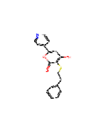 O=c1oc(-c2ccncc2)cc(O)c1SCCc1ccccc1